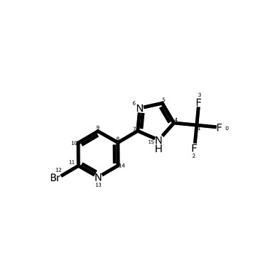 FC(F)(F)c1cnc(-c2ccc(Br)nc2)[nH]1